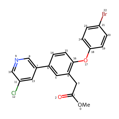 COC(=O)Cc1cc(-c2cncc(Cl)c2)ccc1Oc1ccc(Br)cc1